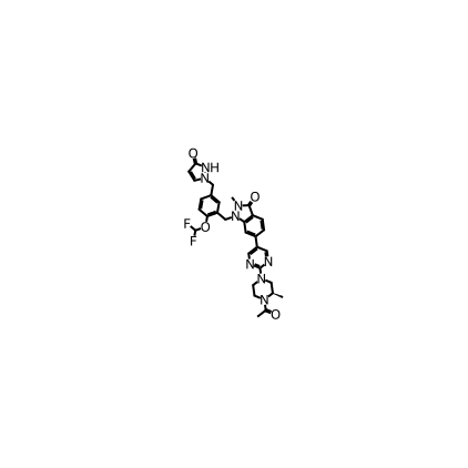 CC(=O)N1CCN(c2ncc(-c3ccc4c(=O)n(C)n(Cc5cc(Cn6ccc(=O)[nH]6)ccc5OC(F)F)c4c3)cn2)C[C@H]1C